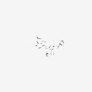 C[N+](C(=O)C1=CC(=NC(=O)c2ncc[nH]2)C=N1)=C1C=CC(S(=O)(=O)O)C2=CC(S(=O)(=O)O)=CC(S(=O)(=O)O)C21.[NaH].[NaH].[NaH]